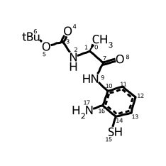 C[C@H](NC(=O)OC(C)(C)C)C(=O)Nc1cccc(S)c1N